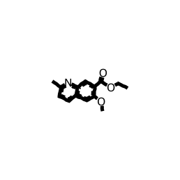 CCOC(=O)c1cc2nc(C)ccc2cc1OC